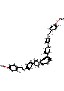 CCCCCCOc1ccc(CCc2ccc(-c3ccc(-c4cccc(-c5ccc(-c6ccc(CCc7ccc(OCCCCCC)cc7)cc6)cc5)c4)cc3)cc2)cc1